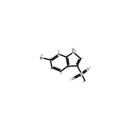 CS(=O)(=O)c1c[nH]c2nc(Br)ccc12